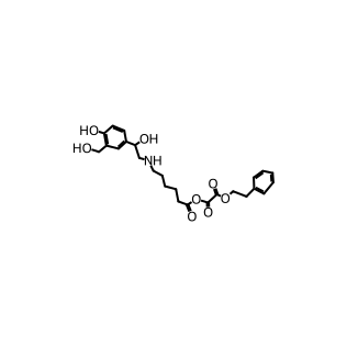 O=C(CCCCCNCC(O)c1ccc(O)c(CO)c1)OC(=O)C(=O)OCCc1ccccc1